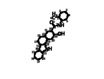 Cc1ccccc1NC(=O)c1cc2ccc3c4ccccc4[nH]c3c2cc1O